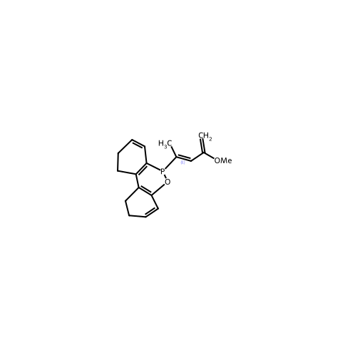 C=C(/C=C(\C)P1OC2=C(CCC=C2)C2=C1C=CCC2)OC